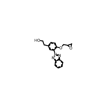 OCCc1ccc(OCC2CO2)c(-n2nc3ccccc3n2)c1